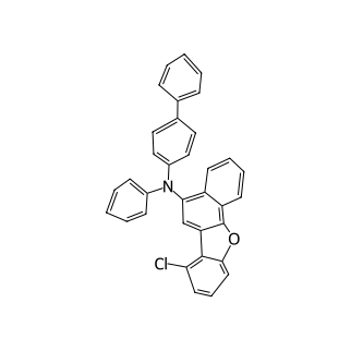 Clc1cccc2oc3c4ccccc4c(N(c4ccccc4)c4ccc(-c5ccccc5)cc4)cc3c12